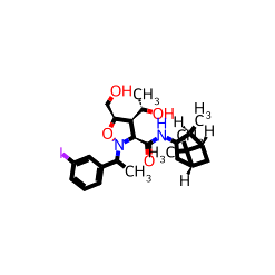 CC(c1cccc(I)c1)N1O[C@@H](CO)[C@@H]([C@H](C)O)[C@H]1C(=O)NC1C[C@H]2C[C@@H]([C@@H]1C)C2(C)C